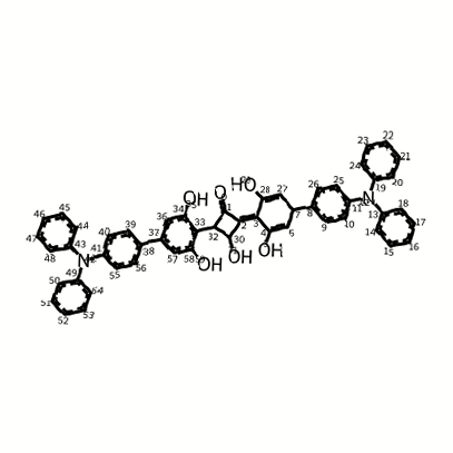 O=C1C(=C2C(O)=CC(c3ccc(N(c4ccccc4)c4ccccc4)cc3)C=C2O)C(O)C1c1c(O)cc(-c2ccc(N(c3ccccc3)c3ccccc3)cc2)cc1O